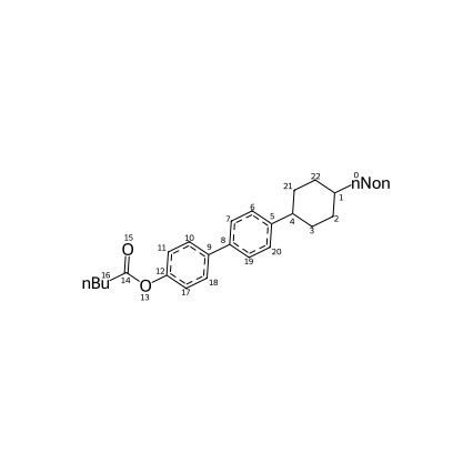 CCCCCCCCCC1CCC(c2ccc(-c3ccc(OC(=O)CCCC)cc3)cc2)CC1